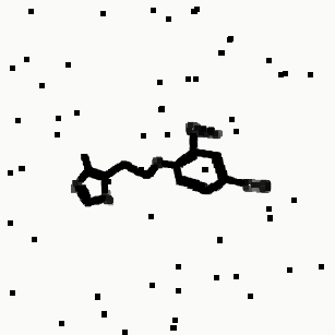 COc1cc(C=O)ccc1OCCc1scnc1C